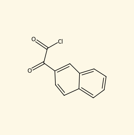 O=C(Cl)C(=O)c1ccc2ccccc2c1